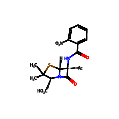 CC(=O)[C@]1(NC(=O)c2ccccc2[N+](=O)[O-])C(=O)N2[C@@H](C(=O)O)C(C)(C)S[C@@H]21